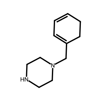 C1=CCCC(CN2CCNCC2)=C1